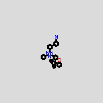 N#Cc1cccc(-c2cccc(-c3nc(-c4ccccc4)nc(-c4ccc5c(c4)C4(c6ccccc6O5)c5ccccc5-c5ccccc54)n3)c2)c1